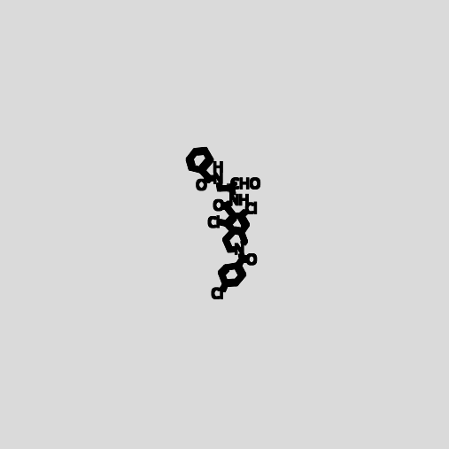 O=C[C@H](CNC(=O)c1ccccc1)NC(=O)c1c(Cl)cc2c(c1Cl)CCN(C(=O)c1ccc(Cl)cc1)C2